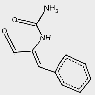 NC(=O)NC([C]=O)=Cc1ccccc1